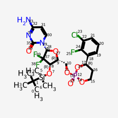 CC(C)(C)[Si](C)(C)O[C@@H]1[C@@H](CO[P@]2(=O)OCC[C@H](c3cccc(Cl)c3F)O2)O[C@@H](n2ccc(N)nc2=O)C1(F)F